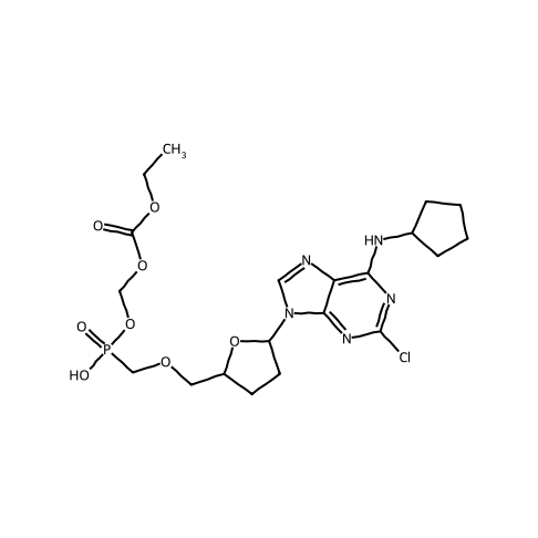 CCOC(=O)OCOP(=O)(O)COCC1CCC(n2cnc3c(NC4CCCC4)nc(Cl)nc32)O1